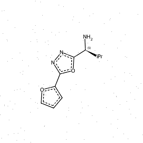 CC(C)[C@H](N)c1nnc(-c2ccco2)o1